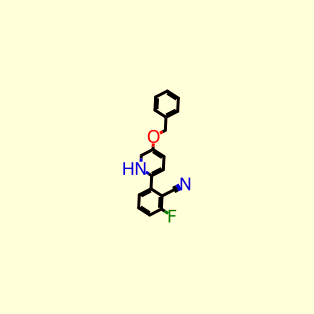 N#Cc1c(F)cccc1C1=CC=C(OCc2ccccc2)CN1